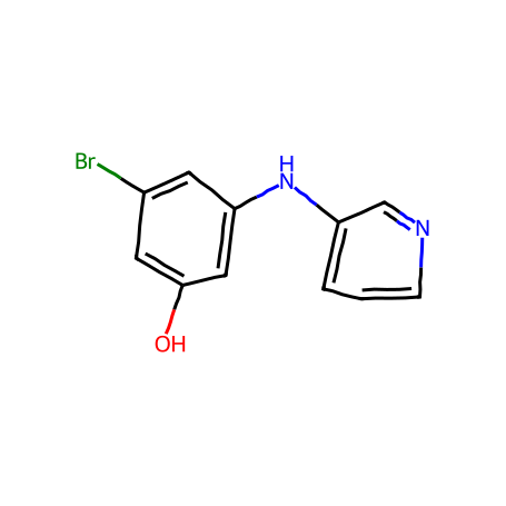 Oc1cc(Br)cc(Nc2cccnc2)c1